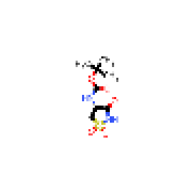 CC(C)(C)OC(=O)N[C@H]1CS(=O)(=O)NC1=O